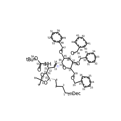 CCCCCCCCCCCCCC[C@@H]1OC(C)(C)O[C@H]1[C@H](/C=C/[C@H]1OC(COCc2ccccc2)[C@H](OCc2ccccc2)[C@@H](OCc2ccccc2)C1OCc1ccccc1)NC(=O)OC(C)(C)C